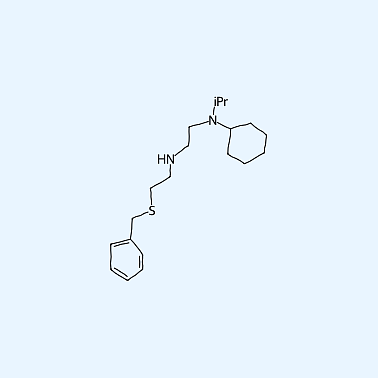 CC(C)N(CCNCCSCc1ccccc1)C1CCCCC1